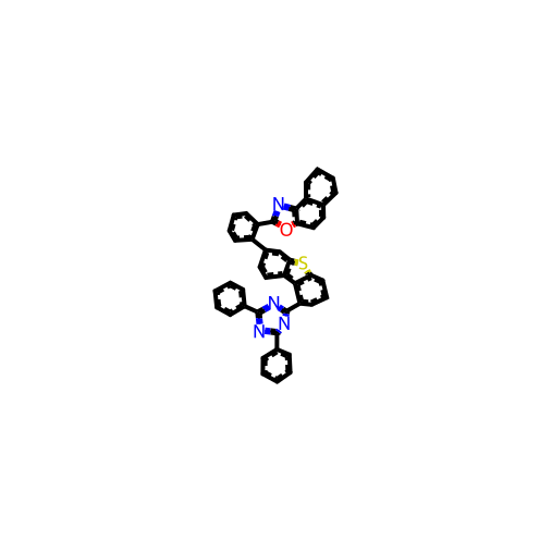 c1ccc(-c2nc(-c3ccccc3)nc(-c3cccc4sc5cc(-c6ccccc6-c6nc7c(ccc8ccccc87)o6)ccc5c34)n2)cc1